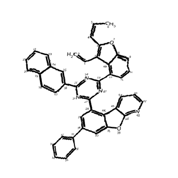 C=Cc1c(/C=C\C)oc2cccc(-c3nc(-c4ccc5ccccc5c4)nc(-c4cc(-c5ccccc5)cc5oc6ncccc6c45)n3)c12